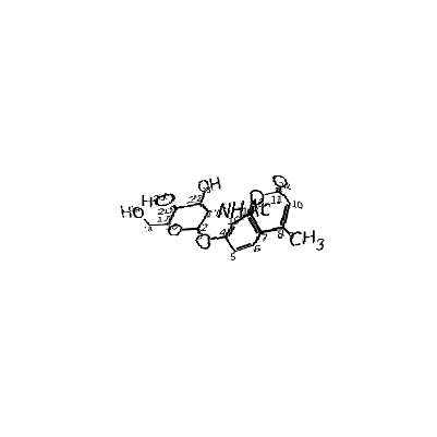 CC(=O)N[C@@H]1C(Oc2ccc3c(C)cc(=O)oc3c2)OC(CO)C(O)C1O